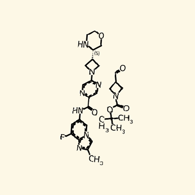 CC(C)(C)OC(=O)N1CC(C=O)C1.Cc1cn2cc(NC(=O)c3cnc(N4CC([C@H]5COCCN5)C4)cn3)cc(F)c2n1